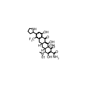 CCN(C)[C@@H]1C(O)=C(C(N)=O)C(=O)[C@@]2(O)C(O)=C3C(=O)c4c(O)cc(C5CCCN5)c(C(F)(F)F)c4C[C@H]3C[C@@H]12